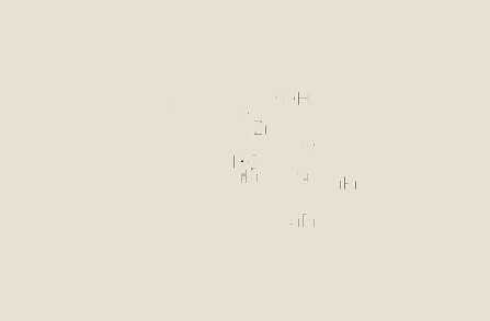 CC(C)[Si]([O][Zr]([OH])([OH])[O]c1ccccc1)(C(C)C)C(C)C